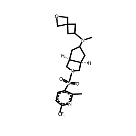 Cc1nc(C(F)(F)F)ccc1S(=O)(=O)N1C[C@H]2CC(N(C)C3CC4(COC4)C3)C[C@H]2C1